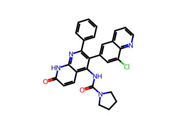 O=C(Nc1c(-c2cc(Cl)c3ncccc3c2)c(-c2ccccc2)nc2[nH]c(=O)ccc12)N1CCCC1